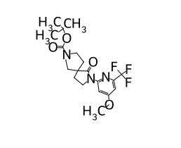 COc1cc(N2CCC3(CCN(C(=O)OC(C)(C)C)CC3)C2=O)nc(C(F)(F)F)c1